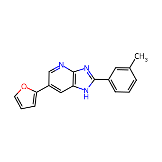 Cc1cccc(-c2nc3ncc(-c4ccco4)cc3[nH]2)c1